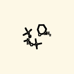 C1CC[SiH2]OC1.C[SiH](O[Si](C)(C)C)O[Si](C)(C)C